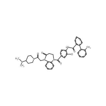 Cc1ccccc1-c1ccccc1C(=O)Nc1ccc(C(=O)N2CCC(=O)N(CC(=O)N3CCC(N(C)C)CC3)c3ccccc32)cc1Cl